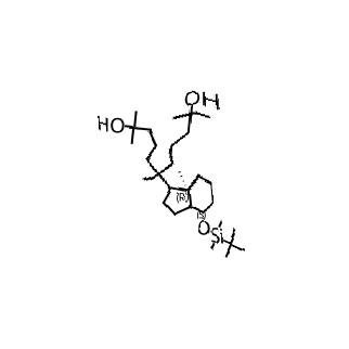 CC(C)(O)CCCC(C)(CCCC(C)(C)O)C1CCC2[C@@H](O[Si](C)(C)C(C)(C)C)CCC[C@@]21C